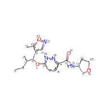 CCC(C)C(Oc1ccc(C(=O)NC2CCOC2)nn1)c1cnoc1C